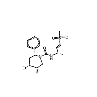 CC[C@@H]1C[C@H](c2ccccc2)N(C(=O)N[C@@H](C)/C=C/S(C)(=O)=O)C[C@H]1F